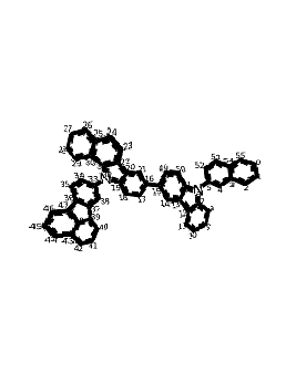 c1ccc2cc(-n3c4ccccc4c4cc(-c5ccc6c(c5)c5ccc7ccccc7c5n6-c5ccc6c(c5)-c5cccc7cccc-6c57)ccc43)ccc2c1